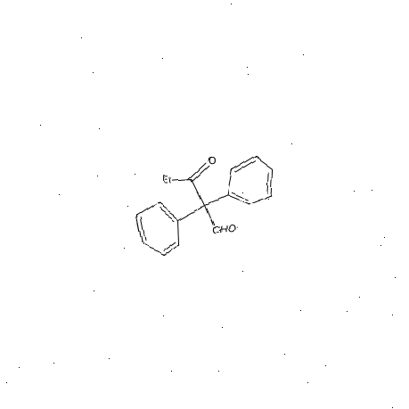 CCC(=O)C([C]=O)(c1ccccc1)c1ccccc1